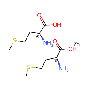 CSCC[C@H](N)C(=O)O.CSCC[C@H](N)C(=O)O.[Zn]